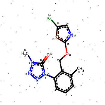 Cc1cccc(-n2nnn(C)c2=O)c1COc1ncc(Br)s1